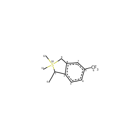 CC1c2ccc(C(F)(F)F)cc2CS1(C)C